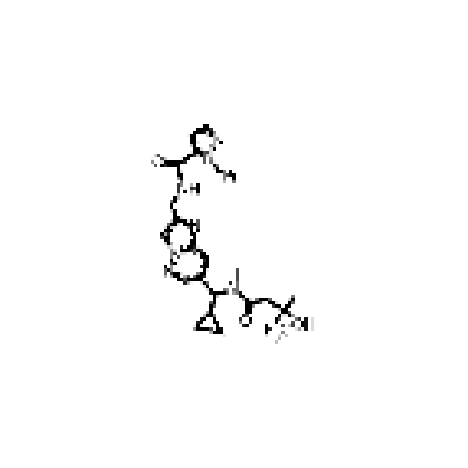 CC(C)n1nccc1C(=O)NCc1cn2ncc(C(NC(=O)CC(C)(O)C(F)(F)F)C3CC3)cc2n1